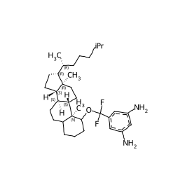 CC(C)CCC[C@@H](C)[C@H]1CC[C@H]2[C@@H]3CCC4CCCC(OC(F)(F)c5cc(N)cc(N)c5)[C@]4(C)[C@H]3CC[C@]12C